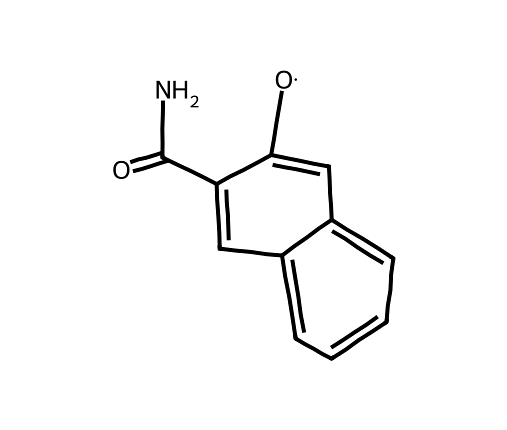 NC(=O)c1cc2ccccc2cc1[O]